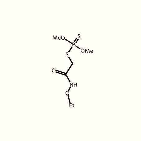 CCONC(=O)CSP(=S)(OC)OC